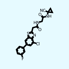 N#CC1(NC(=O)CNC(=O)Cc2nc3c(Cl)cc(-c4cccc(F)c4)cc3s2)CC1